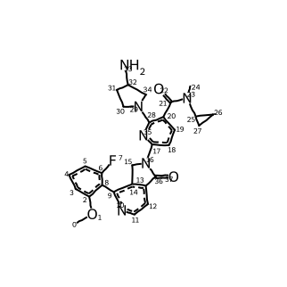 COc1cccc(F)c1-c1nccc2c1CN(c1ccc(C(=O)N(C)C3CC3)c(N3CCC(N)C3)n1)C2=O